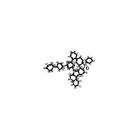 O=P1(c2ccccc2)c2ccccc2-c2c1ccc1c3c4ccccc4ccc3n(-c3nc(-c4ccccc4)nc(-c4ccc(-c5ccccc5)cc4)n3)c21